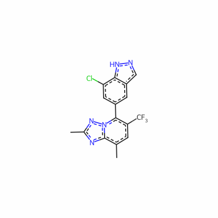 Cc1nc2c(C)cc(C(F)(F)F)c(-c3cc(Cl)c4[nH]ncc4c3)n2n1